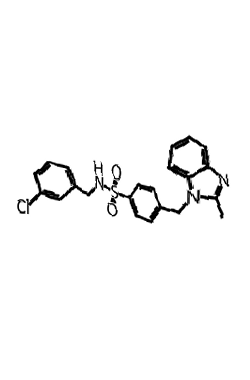 Cc1nc2ccccc2n1Cc1ccc(S(=O)(=O)NCc2cccc(Cl)c2)cc1